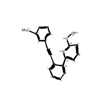 COc1cccc(C#Cc2ccccc2-c2cccc(OC(C)(C)C)n2)c1